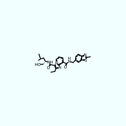 CCc1nc2c(C(=O)NCc3ccc4nc(C)sc4c3)cccn2c1C(=O)N[C@H](CO)CC(C)C